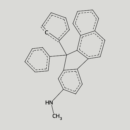 CNc1ccc2c(c1)C(c1ccccc1)(c1ccccc1)c1c-2ccc2ccccc12